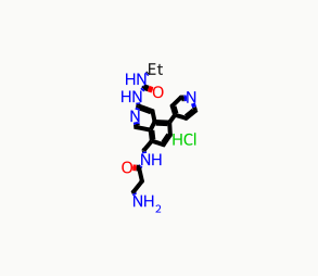 CCNC(=O)Nc1cc2c(-c3ccncc3)ccc(CNC(=O)CCN)c2cn1.Cl